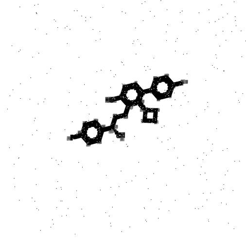 Oc1ccc(-c2ccc(F)cc2)c(N2CCC2)c1CC[C@H](O)c1ccc(F)cc1